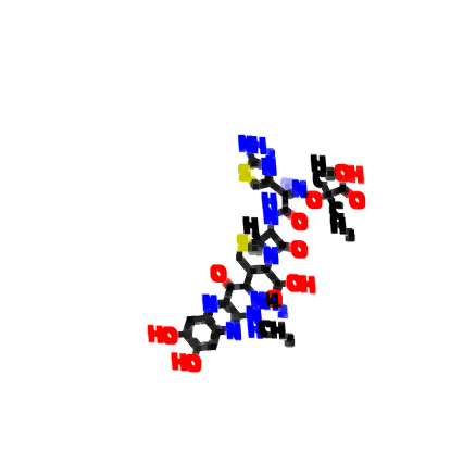 CNc1nc2cc(O)c(O)cc2nc1C(=O)C(N)C1=C(C(=O)O)N2C(=O)C(NC(=O)/C(=N\OC(C)(C)C(=O)O)c3csc(N)n3)[C@H]2SC1